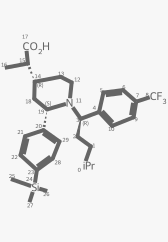 CC(C)CC[C@H](c1ccc(C(F)(F)F)cc1)N1CC[C@@H](C(C)C(=O)O)C[C@H]1c1ccc([Si](C)(C)C)cc1